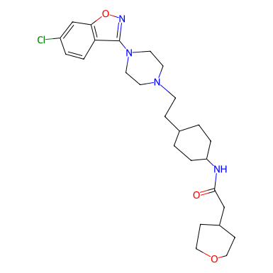 O=C(CC1CCOCC1)NC1CCC(CCN2CCN(c3noc4cc(Cl)ccc34)CC2)CC1